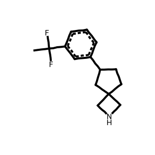 CC(F)(F)c1cccc(C2CCC3(CNC3)C2)c1